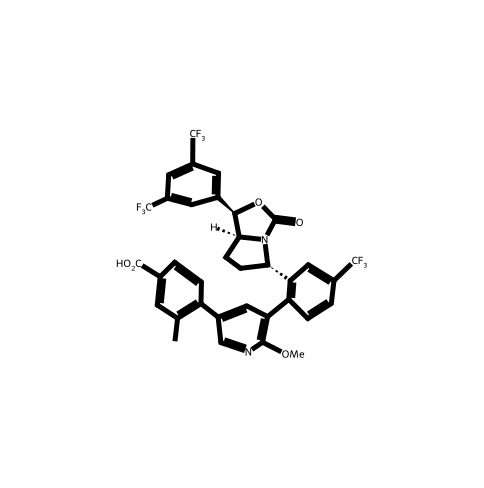 COc1ncc(-c2ccc(C(=O)O)cc2C)cc1-c1ccc(C(F)(F)F)cc1[C@@H]1CC[C@H]2[C@@H](c3cc(C(F)(F)F)cc(C(F)(F)F)c3)OC(=O)N12